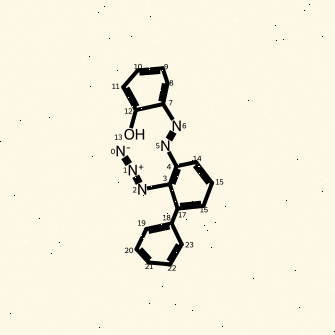 [N-]=[N+]=Nc1c(N=Nc2ccccc2O)cccc1-c1ccccc1